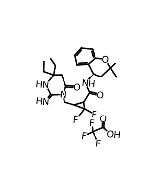 CCC1(CC)CC(=O)N(CC2C(C(=O)N[C@@H]3CC(C)(C)Oc4ccccc43)C2(F)F)C(=N)N1.O=C(O)C(F)(F)F